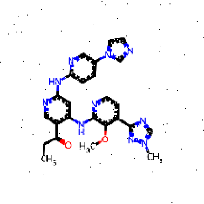 CCC(=O)c1cnc(Nc2ccc(-n3ccnc3)cn2)cc1Nc1nccc(-c2ncn(C)n2)c1OC